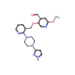 COc1cc(C=O)c(OCc2cccnc2N2CCN(c3cc[nH]n3)CC2)cn1